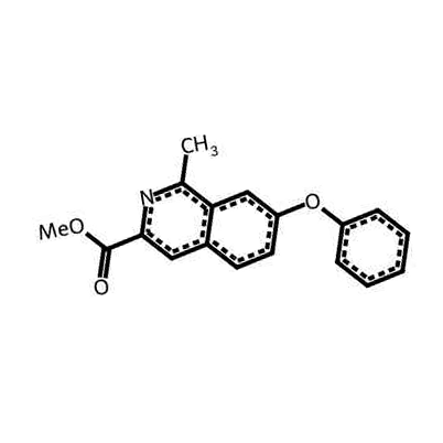 COC(=O)c1cc2ccc(Oc3ccccc3)cc2c(C)n1